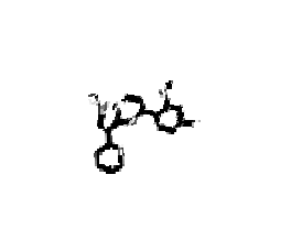 COc1cc(Cl)ccc1-c1ccn2c(n1)c(-c1ccccn1)c[n+]2[O-]